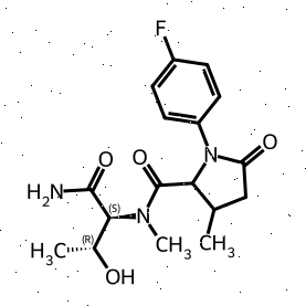 CC1CC(=O)N(c2ccc(F)cc2)C1C(=O)N(C)[C@H](C(N)=O)[C@@H](C)O